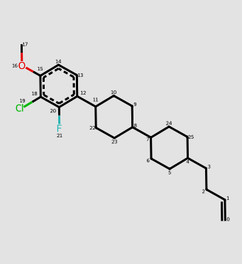 C=CCCC1CCC(C2CCC(c3ccc(OC)c(Cl)c3F)CC2)CC1